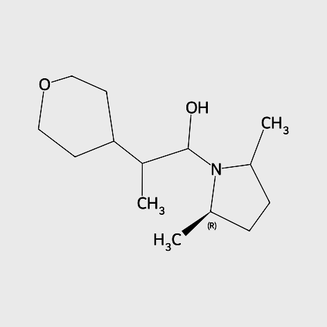 CC(C1CCOCC1)C(O)N1C(C)CC[C@H]1C